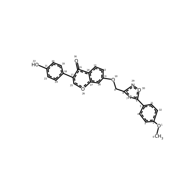 COc1ccc(-c2nc(COc3ccc4c(=O)c(-c5ccc(O)cc5)coc4c3)no2)cc1